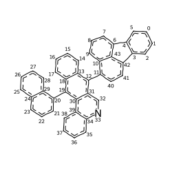 c1ccc2c(c1)-c1cccc3c(-c4c5ccccc5c(-c5cccc6ccccc56)c5c4cnc4ccccc45)ccc-2c13